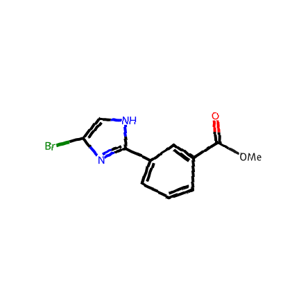 COC(=O)c1cccc(-c2nc(Br)c[nH]2)c1